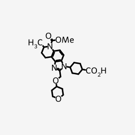 COC(=O)N1c2ccc3c(nc(COC4CCOCC4)n3C3CCC(C(=O)O)CC3)c2CCC1C